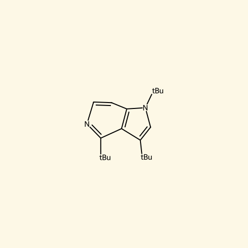 CC(C)(C)c1cn(C(C)(C)C)c2ccnc(C(C)(C)C)c12